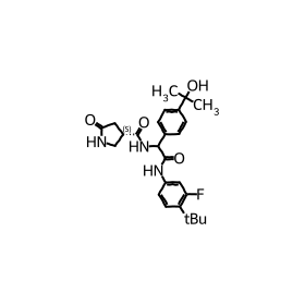 CC(C)(C)c1ccc(NC(=O)C(NC(=O)[C@@H]2CNC(=O)C2)c2ccc(C(C)(C)O)cc2)cc1F